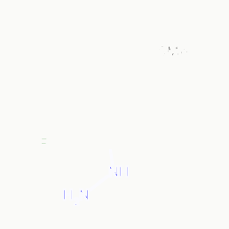 CSc1cc(NN)c(F)cc1C